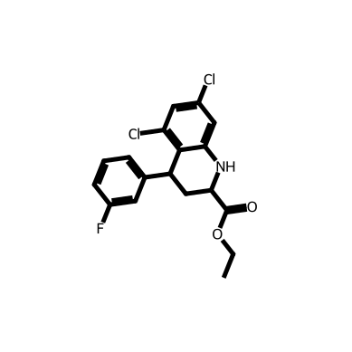 CCOC(=O)C1CC(c2cccc(F)c2)c2c(Cl)cc(Cl)cc2N1